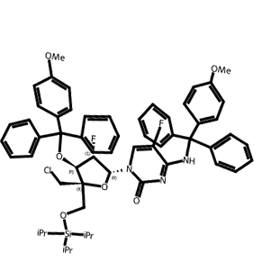 COc1ccc(C(Nc2nc(=O)n([C@@H]3O[C@](CCl)(CO[Si](C(C)C)(C(C)C)C(C)C)[C@@H](OC(c4ccccc4)(c4ccccc4)c4ccc(OC)cc4)[C@@H]3F)cc2F)(c2ccccc2)c2ccccc2)cc1